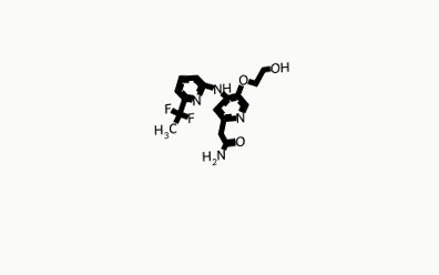 CC(F)(F)c1cccc(Nc2cc(CC(N)=O)ncc2OCCO)n1